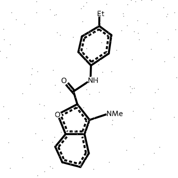 CCc1ccc(NC(=O)c2oc3ccccc3c2NC)cc1